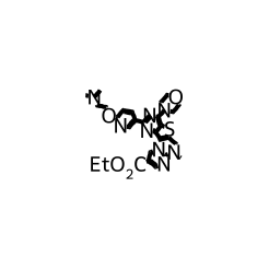 CCOC(=O)c1cnc(N(C)Cc2cc3nc(-c4ccc(OCCN(C)C)nc4)nc(N4CCOCC4)c3s2)nc1